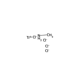 CN.[Cl-].[Cl-].[Cl-].[Cl-].[Ti+4]